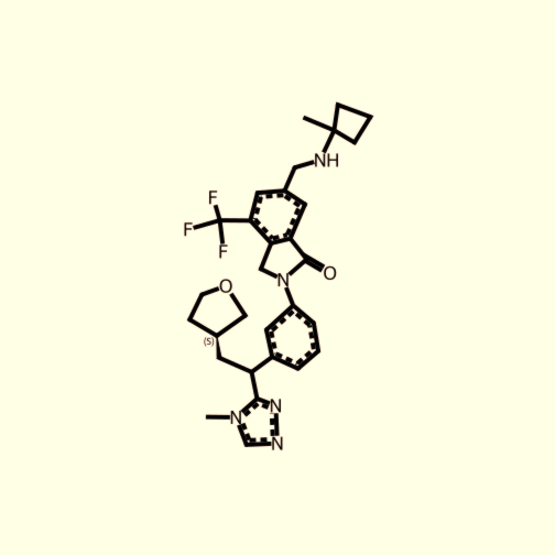 Cn1cnnc1C(C[C@H]1CCOC1)c1cccc(N2Cc3c(cc(CNC4(C)CCC4)cc3C(F)(F)F)C2=O)c1